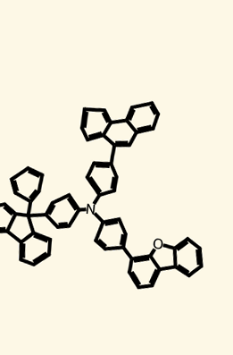 c1ccc(C2(c3ccc(N(c4ccc(-c5cc6ccccc6c6ccccc56)cc4)c4ccc(-c5cccc6c5oc5ccccc56)cc4)cc3)c3ccccc3-c3ccccc32)cc1